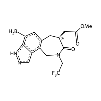 Bc1cc2c(c3cn[nH]c13)CN(CC(F)(F)F)C(=O)[C@H](CC(=O)OC)C2